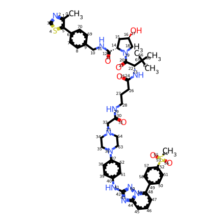 Cc1ncsc1-c1ccc(CNC(=O)[C@@H]2C[C@@H](O)CN2C(=O)[C@@H](NC(=O)CCCNC(=O)CN2CCN(c3ccc(Nc4nc5cccc(-c6ccc(S(C)(=O)=O)cc6)n5n4)cc3)CC2)C(C)(C)C)cc1